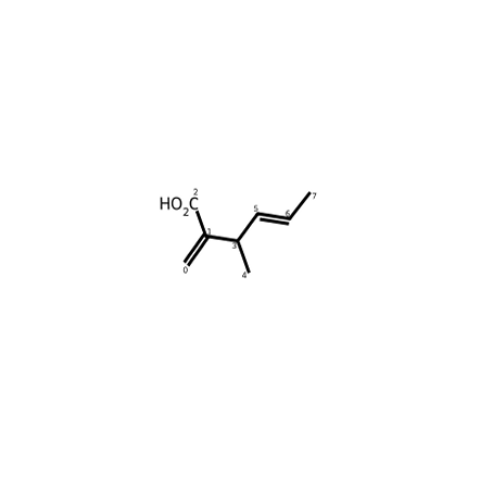 C=C(C(=O)O)C(C)C=CC